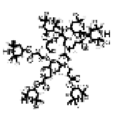 CC(CN(CCC(=O)OC1CC(C)(C)NC(C)(C)C1)C(C)CN(CCC(=O)OC1CC(C)(C)NC(C)(C)C1)C(C)CN(CCC(=O)OC1CC(C)(C)NC(C)(C)C1)CCC(=O)OC1CC(C)(C)NC(C)(C)C1)N(CCC(=O)OC1CC(C)(C)NC(C)(C)C1)CCC(=O)OC1CC(C)(C)NC(C)(C)C1